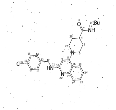 CC(C)(C)NC(=O)C1CCN(c2cc(NCc3ccc(Cl)cc3)nc3ccccc23)CC1